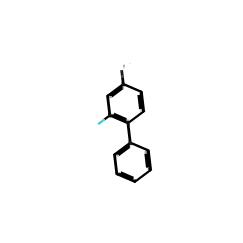 CCCc1ccc(-c2ccccc2)c(F)c1